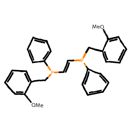 COc1ccccc1CP(/C=C/P(Cc1ccccc1OC)c1ccccc1)c1ccccc1